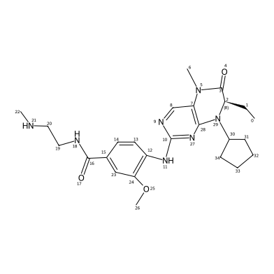 CC[C@@H]1C(=O)N(C)c2cnc(Nc3ccc(C(=O)NCCNC)cc3OC)nc2N1C1CCCC1